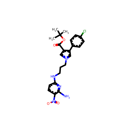 CC(C)(C)OC(=O)c1cn(CCCNc2ccc([N+](=O)[O-])c(N)n2)cc1-c1ccc(Cl)cc1